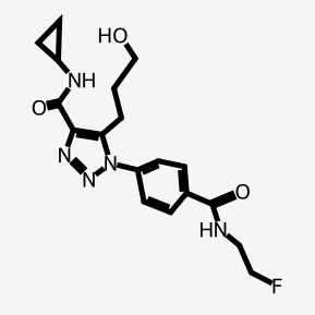 O=C(NCCF)c1ccc(-n2nnc(C(=O)NC3CC3)c2CCCO)cc1